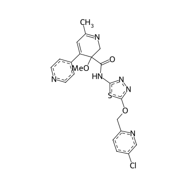 COC1(C(=O)Nc2nnc(OCc3ccc(Cl)cn3)s2)CN=C(C)C=C1c1ccncc1